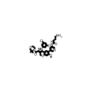 COc1cc2c(cc1-c1cncc(NC(=O)CCCN)c1)-c1c(c(C(=O)N3CCOCC3(C)C)nn1-c1cc(Cl)cc(Cl)c1)CO2